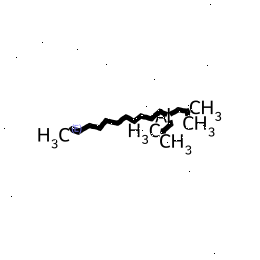 C/C=C/CCCCCCCC[CH2][Al]([CH2]C(C)C)[CH2]C(C)C